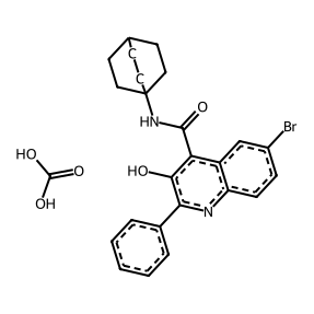 O=C(NC12CCC(CC1)CC2)c1c(O)c(-c2ccccc2)nc2ccc(Br)cc12.O=C(O)O